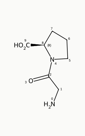 NCC(=O)N1CCC[C@@H]1C(=O)O